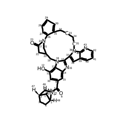 N[C@@H]1[C@@H]2CC[C@H]1N(C(=O)c1cc(O)c3c(c1)nc1n3CC3CC(=O)N(C3)c3ccccc3CCCCn3c-1cc1cccnc13)C2